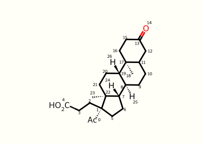 CC(=O)[C@@]1(CCC(=O)O)CC[C@H]2[C@@H]3CCC4CC(=O)CC[C@]4(C)[C@H]3CC[C@@]21C